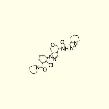 O=C(N[C@H]1COCc2c1cnn2-c1cccc(C(=O)N2CCCCC2)c1Cl)c1ncn2c1CCCC2